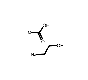 O=C(O)O.OC[CH2][Na]